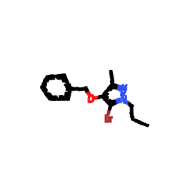 CCCn1nc(C)c(OCc2ccccc2)c1Br